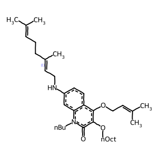 CCCCCCCCOc1c(OCC=C(C)C)c2ccc(NC/C=C(\C)CCC=C(C)C)cc2n(CCCC)c1=O